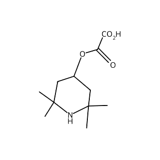 CC1(C)CC(OC(=O)C(=O)O)CC(C)(C)N1